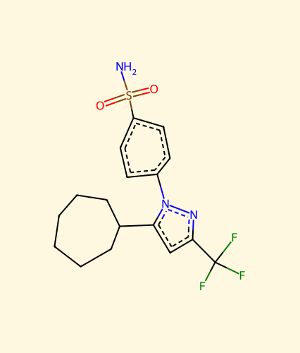 NS(=O)(=O)c1ccc(-n2nc(C(F)(F)F)cc2C2CCCCCC2)cc1